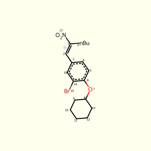 CCCC/C(=C\c1ccc(OC2CCCCC2)c(Br)c1)[N+](=O)[O-]